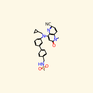 Cn1c(=O)cc(N(CC2CC2)c2cccc(-c3ccc(CNS(C)(=O)=O)cc3)c2)c2nc(C#N)ccc21